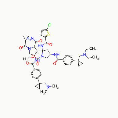 CCN(CC)CC1(c2ccc(C(=O)NC3CN(C(=O)OC)C(NC(=O)c4ccc(Cl)s4)(C4C(NC(=O)c5ccc(C6(CN(C)C)CC6)cc5)CN(C(=O)C5CC5)C4C(N)=O)C3)cc2)CC1